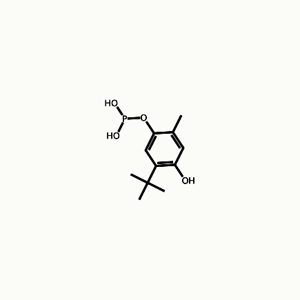 Cc1cc(O)c(C(C)(C)C)cc1OP(O)O